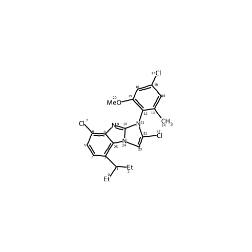 CCC(CC)c1ccc(Cl)c2nc3n(-c4c(C)cc(Cl)cc4OC)c(Cl)cn3c12